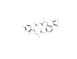 Cc1ccc([C@@H](C)CN(C)C(=O)Nc2ccc(-c3c(C)noc3C)c(CN(C)C(=O)OC(C)(C)C)c2)c(C)c1